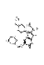 C1COCCO1.CNc1cc2c(cn1)nc([C@@H](C)O)n2C1CCC(CC#N)CC1